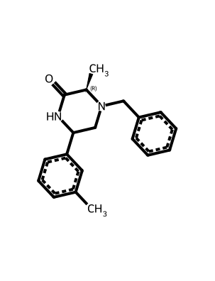 Cc1cccc(C2CN(Cc3ccccc3)[C@H](C)C(=O)N2)c1